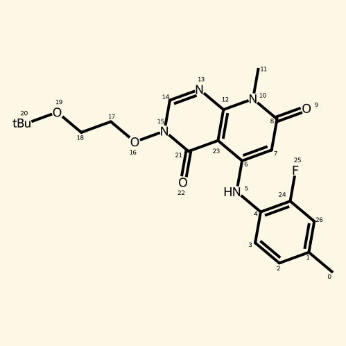 Cc1ccc(Nc2cc(=O)n(C)c3ncn(OCCOC(C)(C)C)c(=O)c23)c(F)c1